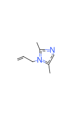 C=CCn1c(C)cnc1C